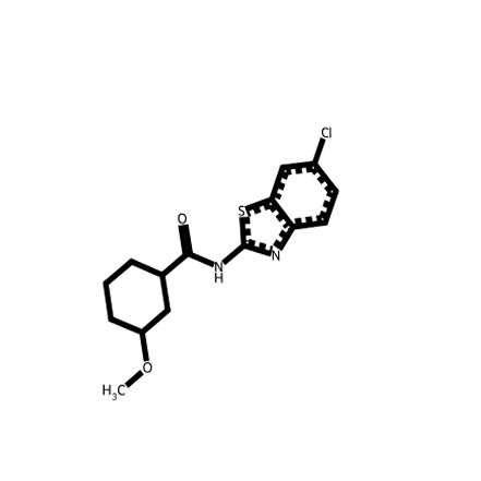 COC1CCCC(C(=O)Nc2nc3ccc(Cl)cc3s2)C1